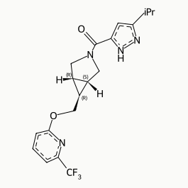 CC(C)c1cc(C(=O)N2C[C@@H]3[C@@H](COc4cccc(C(F)(F)F)n4)[C@@H]3C2)[nH]n1